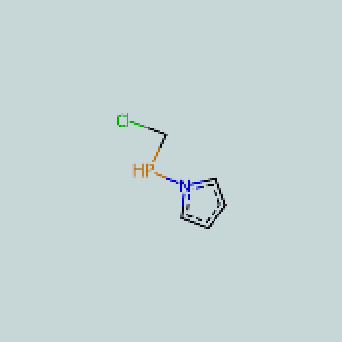 ClCPn1cccc1